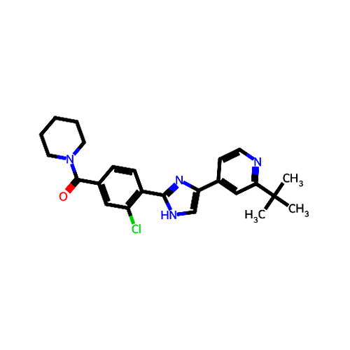 CC(C)(C)c1cc(-c2c[nH]c(-c3ccc(C(=O)N4CCCCC4)cc3Cl)n2)ccn1